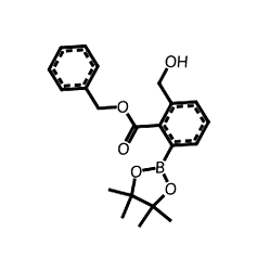 CC1(C)OB(c2cccc(CO)c2C(=O)OCc2ccccc2)OC1(C)C